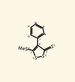 CSc1ssc(=S)c1-c1ccccc1